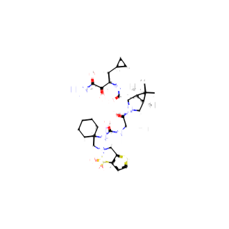 CC(C)(C)[C@H](NC(=O)NC1(CN2Cc3sccc3S2(=O)=O)CCCCC1)C(=O)N1C[C@H]2[C@@H]([C@H]1C(=O)NC(CC1CC1)C(=O)C(N)=O)C2(C)C